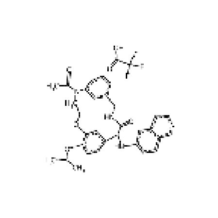 CCOc1cc(C(Nc2ccc3cnccc3c2)C(=O)NCc2cccc(NC(C)=O)c2)ccc1OC(C)C.O=C(O)C(F)(F)F